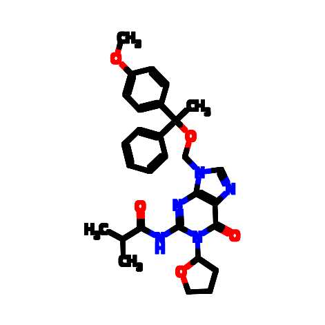 COc1ccc(C(C)(OCn2cnc3c(=O)n(C4CCCO4)c(NC(=O)C(C)C)nc32)c2ccccc2)cc1